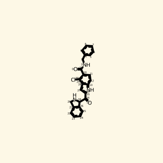 O=C(NCc1ccccc1)c1ccc2[nH]c(C(=O)C3NCc4ccccc43)cc2c1Cl